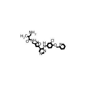 C=C(CN)C(=O)NCc1cc(-c2cncnc2Nc2ccc(OCc3ccccn3)c(Cl)c2)on1